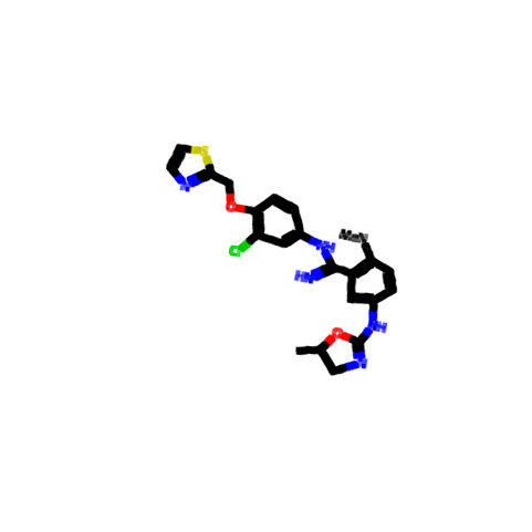 CNc1ccc(NC2=NCC(C)O2)cc1C(=N)Nc1ccc(OCc2nccs2)c(Cl)c1